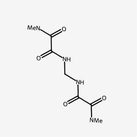 CNC(=O)C(=O)NCNC(=O)C(=O)NC